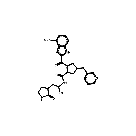 COc1cccc2[nH]c(C(=O)N3CC(Cc4cccnc4)CC3C(=O)NC(C#N)CC3CCNC3=O)cc12